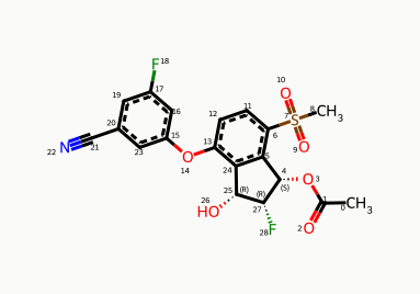 CC(=O)O[C@H]1c2c(S(C)(=O)=O)ccc(Oc3cc(F)cc(C#N)c3)c2[C@@H](O)[C@H]1F